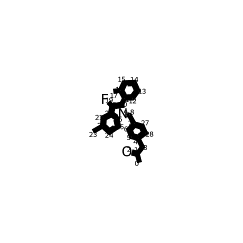 CC(=O)Cc1ccc(Cn2c(-c3ccccc3C)c(F)c3cc(C)ccc32)cc1